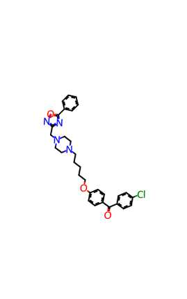 O=C(c1ccc(Cl)cc1)c1ccc(OCCCCCN2CCN(Cc3noc(-c4ccccc4)n3)CC2)cc1